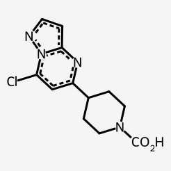 O=C(O)N1CCC(c2cc(Cl)n3nccc3n2)CC1